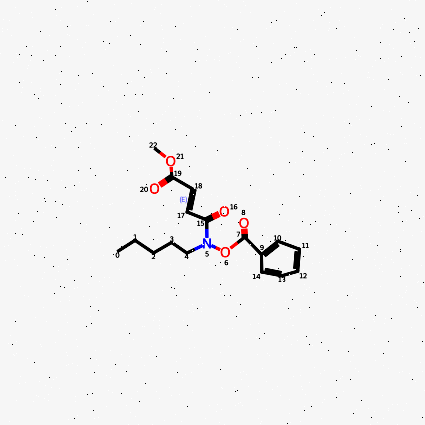 CCCCCN(OC(=O)c1ccccc1)C(=O)/C=C/C(=O)OC